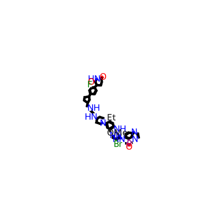 CCc1cc(Nc2ncc(Br)c(Nc3ccc4nccnc4c3P(C)(C)=O)n2)c(OC)cc1N1CCC(NCCNCC2CCC(c3ccc(C4CCC(=O)NC4=O)c(F)c3)C2)CC1